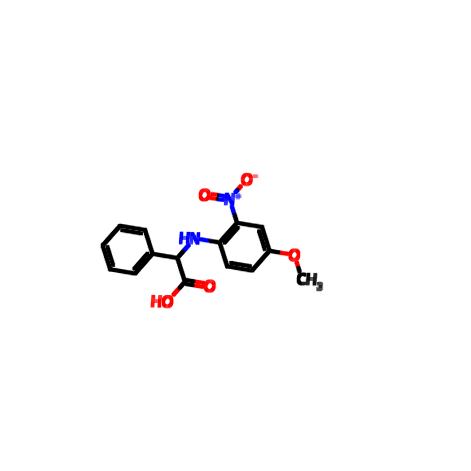 COc1ccc(NC(C(=O)O)c2ccccc2)c([N+](=O)[O-])c1